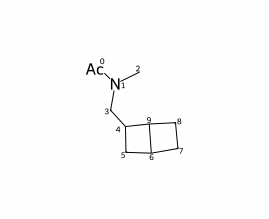 CC(=O)N(C)CC1CC2CCC21